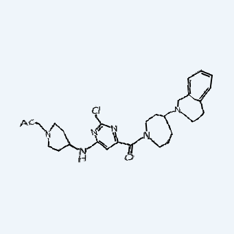 CC(=O)N1CCC(Nc2cc(C(=O)N3CCC(N4CCc5ccccc5C4)CC3)nc(Cl)n2)CC1